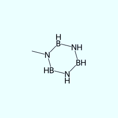 CN1BNBNB1